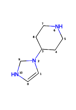 C1=CN(C2CCNCC2)CN1